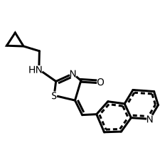 O=C1N=C(NCC2CC2)SC1=Cc1ccc2ncccc2c1